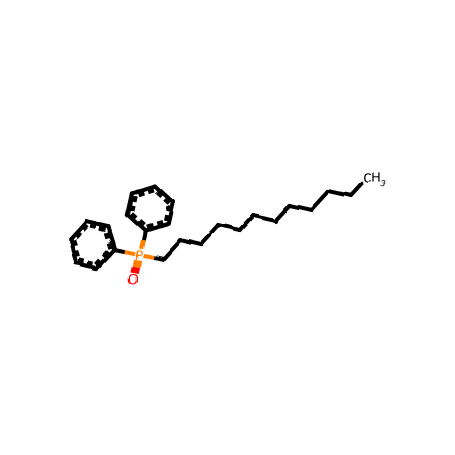 CCCCCCCCCCCCP(=O)(c1ccccc1)c1ccccc1